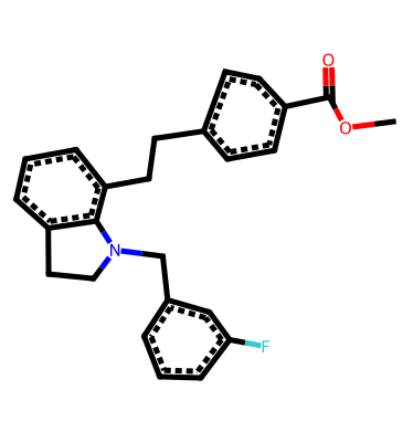 COC(=O)c1ccc(CCc2cccc3c2N(Cc2cccc(F)c2)CC3)cc1